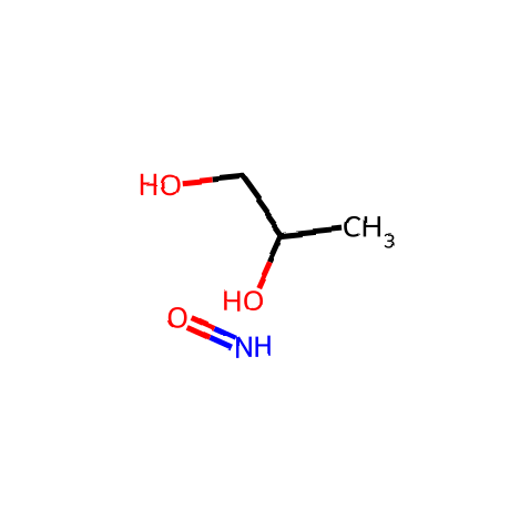 CC(O)CO.N=O